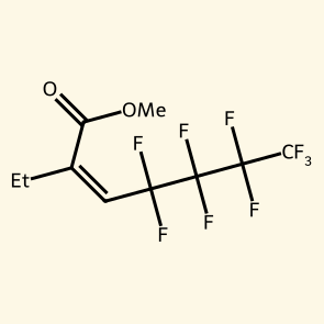 CCC(=CC(F)(F)C(F)(F)C(F)(F)C(F)(F)F)C(=O)OC